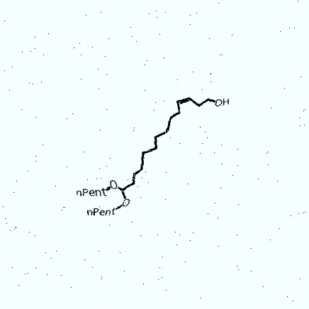 CCCCCOC(CCCCCCCCC/C=C\CCO)OCCCCC